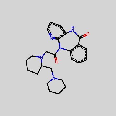 O=C1Nc2cccnc2N(C(=O)CN2CCCCC2CN2CCCCC2)c2ccccc21